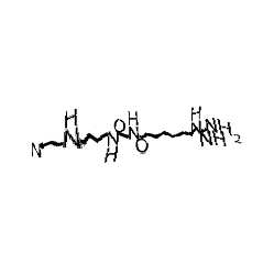 N#CCCNCCCCNC(=O)CNC(=O)CCCCCCNC(=N)N